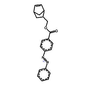 O=C(OCC1CC2C=CC1C2)c1ccc(/N=N/c2ccccc2)cc1